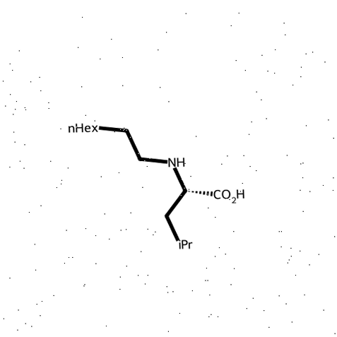 CCCCCCCCN[C@@H](CC(C)C)C(=O)O